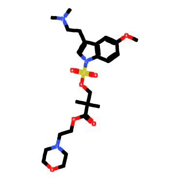 COc1ccc2c(c1)c(CCN(C)C)cn2S(=O)(=O)OCC(C)(C)C(=O)OCCN1CCOCC1